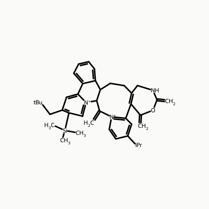 C=C1NCC2=C(C(=C)O1)c1cc(C(C)C)cc[n+]1C(=C)C1C(CC2)c2ccccc2-c2cc(CC(C)(C)C)c([Si](C)(C)C)c[n+]21